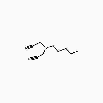 CCCCCN(CC#N)CC#N